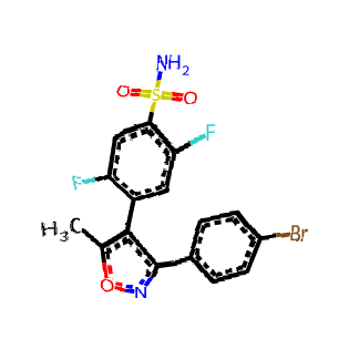 Cc1onc(-c2ccc(Br)cc2)c1-c1cc(F)c(S(N)(=O)=O)cc1F